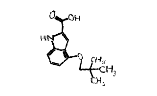 CC(C)(C)COc1cccc2[nH]c(C(=O)O)cc12